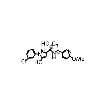 COc1ccc([C@H](CC(=O)O)NC(=O)c2cc(O)n(-c3cccc(Cl)c3)n2)cn1